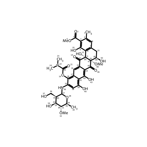 COC(=O)c1c(C)cc2c(c1O)[C@]1(O)C(=O)c3cc4c(OC(=O)N(C)C)c(NC5O[C@@H](C)[C@H](OC)[C@@H](O)[C@H]5CO)cc(O)c4c(O)c3C(=O)[C@]1(OC)[C@H](O)C2